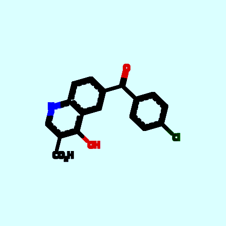 O=C(c1ccc(Cl)cc1)c1ccc2ncc(C(=O)O)c(O)c2c1